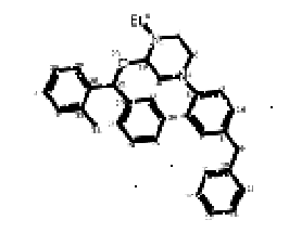 CCN1CCN(c2ccc(Cc3ccccc3)cc2)CC1OC(c1ccccc1)c1ccccc1C